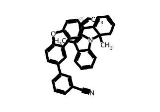 C/C=C\c1c(C)c2ccccc2n1C1(C)CC=CC=C1c1ccc2oc3ccc(-c4cccc(C#N)c4)cc3c2c1